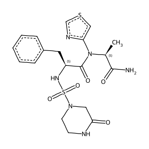 C[C@@H](C(N)=O)N(C(=O)[C@H](Cc1ccccc1)NS(=O)(=O)N1CCNC(=O)C1)c1cscn1